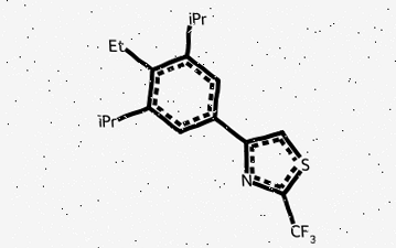 CCc1c(C(C)C)cc(-c2csc(C(F)(F)F)n2)cc1C(C)C